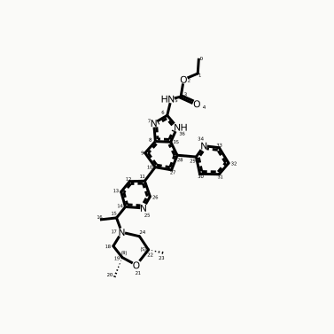 CCOC(=O)Nc1nc2cc(-c3ccc(C(C)N4C[C@@H](C)O[C@@H](C)C4)nc3)cc(-c3ccccn3)c2[nH]1